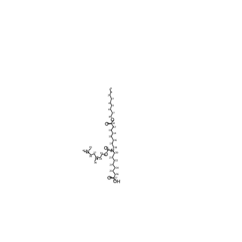 CCCCCCCCCOC(=O)CCCCCCCN(CCCCCCCC(=O)O)C(=O)OCCN(C)CCN(C)C